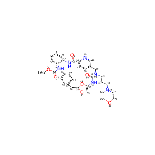 CC(C)(C)OC(=O)Nc1ccccc1NC(=O)c1ccc(CN(CCCN2CCOCC2)C(=O)NC2=COC(Cc3ccccc3)O2)cn1